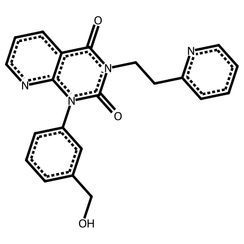 O=c1c2cccnc2n(-c2cccc(CO)c2)c(=O)n1CCc1ccccn1